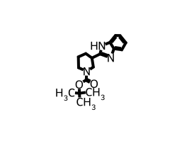 CC(C)(C)OC(=O)N1CCCC(c2nc3ccccc3[nH]2)C1